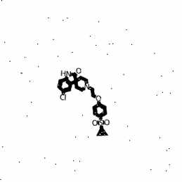 O=C1Nc2ccc(Cl)cc2C12CCN(CCOc1ccc(S(=O)(=O)C3CC3)cc1)CC2